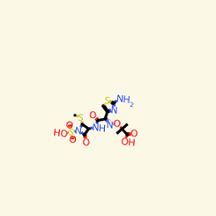 CSC1C(NC(=O)/C(=N/OC(C)(C)C(=O)O)c2csc(N)n2)C(=O)N1S(=O)(=O)O